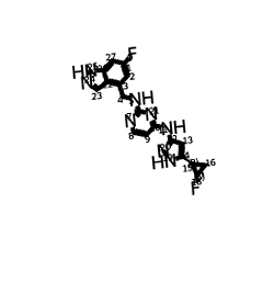 Fc1cc(CNc2nccc(Nc3cc([C@H]4C[C@@H]4F)[nH]n3)n2)c2cn[nH]c2c1